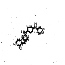 O=C1NCCn2c1cc1cnc(NC3CCC(NC4CCOCC4)CC3)nc12